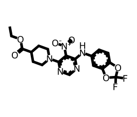 CCOC(=O)C1CCN(c2ncnc(Nc3ccc4c(c3)OC(F)(F)O4)c2[N+](=O)[O-])CC1